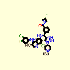 CC(C)(C)N1CCC(N2C=C([C@@H](Nc3cc(Cl)c4ncc(C#N)c(Nc5ccc(F)c(Cl)c5)c4c3)c3cccc(C(=O)N4CC(F)C4)c3)NN2)CC1